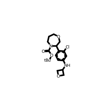 CC(C)(C)OC(=O)N1CCCOCC1c1ccc(NC2COC2)cc1Cl